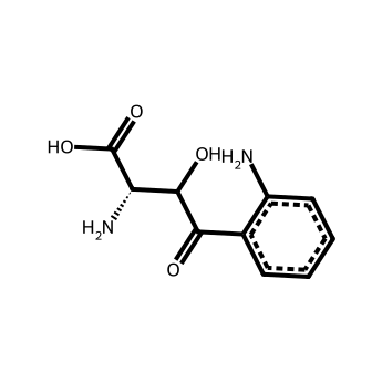 Nc1ccccc1C(=O)C(O)[C@H](N)C(=O)O